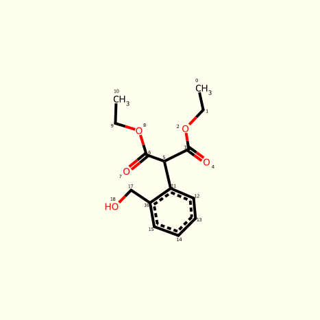 CCOC(=O)C(C(=O)OCC)c1ccccc1CO